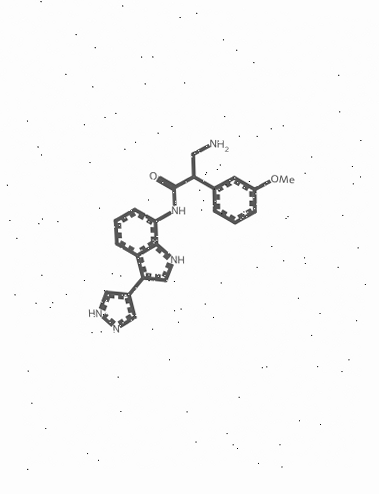 COc1cccc(C(CN)C(=O)Nc2cccc3c(-c4cn[nH]c4)c[nH]c23)c1